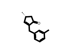 Cc1cccc(CC2=C[C@H](C)CC2=O)c1